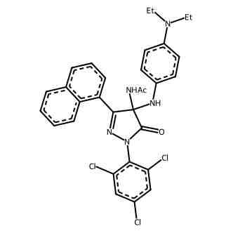 CCN(CC)c1ccc(NC2(NC(C)=O)C(=O)N(c3c(Cl)cc(Cl)cc3Cl)N=C2c2cccc3ccccc23)cc1